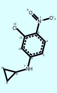 O=[N+]([O-])c1ccc(NC2CC2)cc1Cl